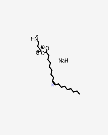 CCCCCCCC/C=C\CCCCCCCC(=O)OS(=O)(=O)CCNC.[NaH]